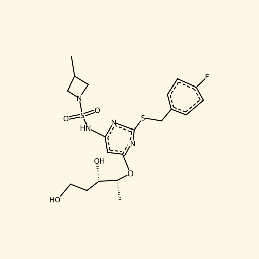 CC1CN(S(=O)(=O)Nc2cc(O[C@H](C)[C@@H](O)CCO)nc(SCc3ccc(F)cc3)n2)C1